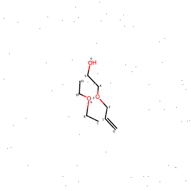 C=CCOCCO.CCOCC